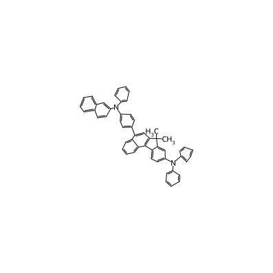 CC1(C)c2cc(N(c3ccccc3)c3ccccc3)ccc2-c2c1cc(-c1ccc(N(c3ccccc3)c3ccc4ccccc4c3)cc1)c1ccccc21